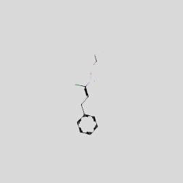 O=C(O)CONC(Cl)=CCc1ccccc1